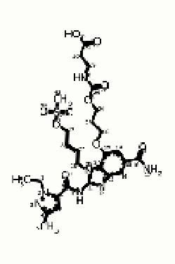 CCn1nc(C)cc1C(=O)Nc1nc2cc(C(N)=O)cc(OCCCOC(=O)NCCC(=O)O)c2n1CC=CCOS(C)(=O)=O